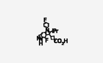 CC(C)c1c(C2CC(C(=O)O)C2)c2c(F)c3[nH]ncc3cc2n1-c1ccc(F)cc1